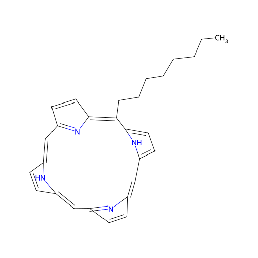 CCCCCCCCc1c2nc(cc3ccc(cc4nc(cc5ccc1[nH]5)C=C4)[nH]3)C=C2